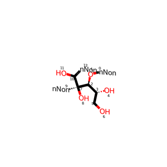 CCCCCCCCCO[C@@H]([C@H](O)CO)[C@](O)(CCCCCCCCC)C(O)CCCCCCCCC